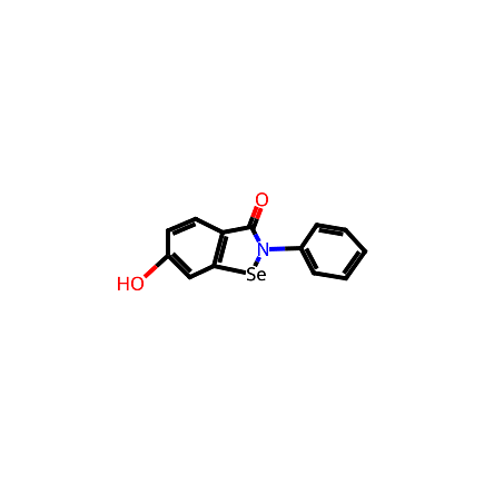 O=c1c2ccc(O)cc2[se]n1-c1ccccc1